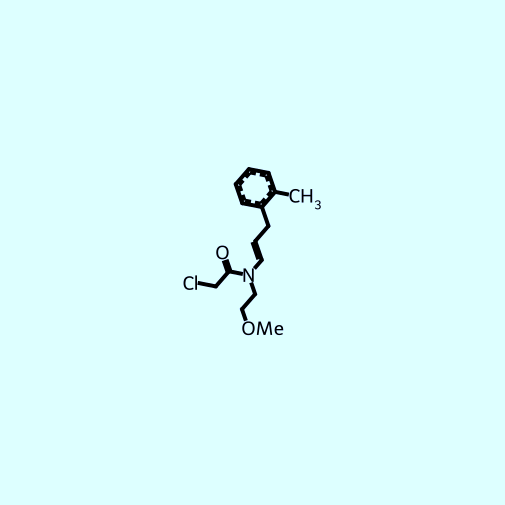 COCCN(C=CCc1ccccc1C)C(=O)CCl